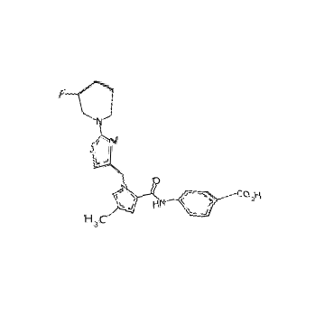 Cc1cc(C(=O)Nc2ccc(C(=O)O)cc2)n(Cc2csc(N3CCCC(F)C3)n2)c1